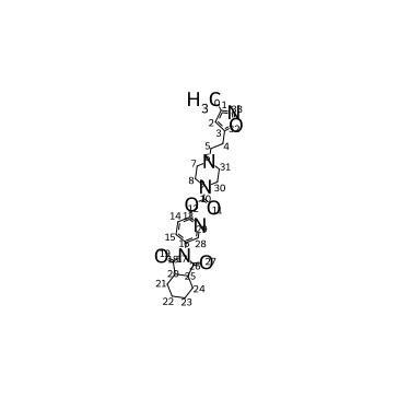 Cc1cc(CCN2CCN(C(=O)Oc3ccc(N4C(=O)C5CCCCC5C4=O)cn3)CC2)on1